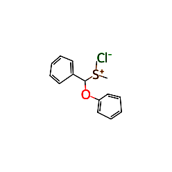 C[S+](C)C(Oc1ccccc1)c1ccccc1.[Cl-]